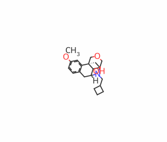 COc1ccc2c(c1)[C@]13CCN(CC4CCC4)[C@H](C2)[C@]1(O)CCOC3